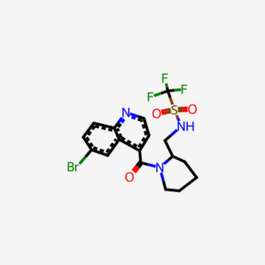 O=C(c1ccnc2ccc(Br)cc12)N1CCCCC1CNS(=O)(=O)C(F)(F)F